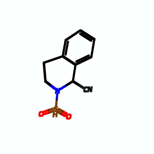 N#CC1c2ccccc2CCN1[SH](=O)=O